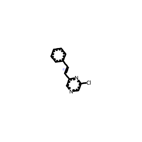 Clc1cncc(/C=C/c2ccccc2)n1